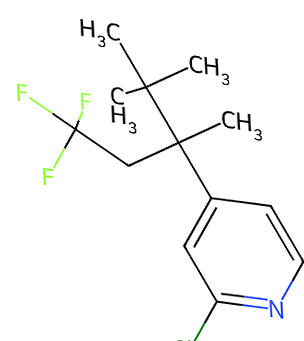 CC(C)(C)C(C)(CC(F)(F)F)c1ccnc(Cl)c1